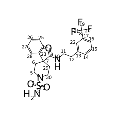 NS(=O)(=O)N1CCC(C(=O)NCCc2cccc(C(F)(F)F)c2)(c2ccccc2)CC1